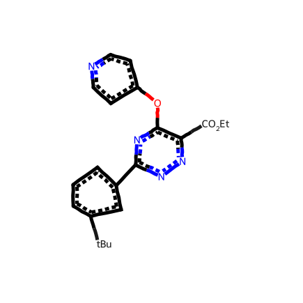 CCOC(=O)c1nnc(-c2cccc(C(C)(C)C)c2)nc1Oc1ccncc1